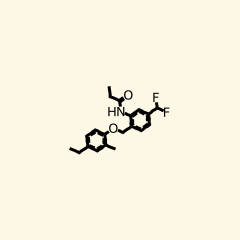 CCC(=O)Nc1cc(C(F)F)ccc1COc1ccc(CC)cc1C